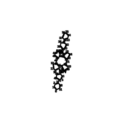 c1ccc(-c2ccc(Nc3cccc4c3-c3ccccc3Cc3cccc(Nc5ccc(-c6ccccc6)cc5)c3-c3ccccc3C4)cc2)cc1